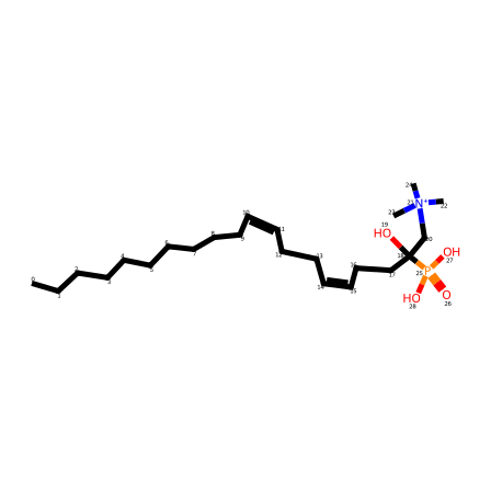 CCCCCCCCCC/C=C\CC/C=C\CCC(O)(C[N+](C)(C)C)P(=O)(O)O